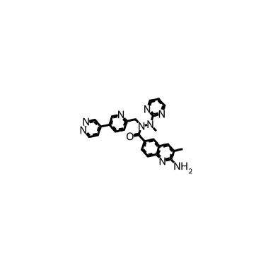 Cc1cc2cc(C(=O)N(Cc3ccc(-c4ccnnc4)cn3)N(C)c3ncccn3)ccc2nc1N